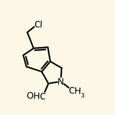 CN1Cc2cc(CCl)ccc2C1C=O